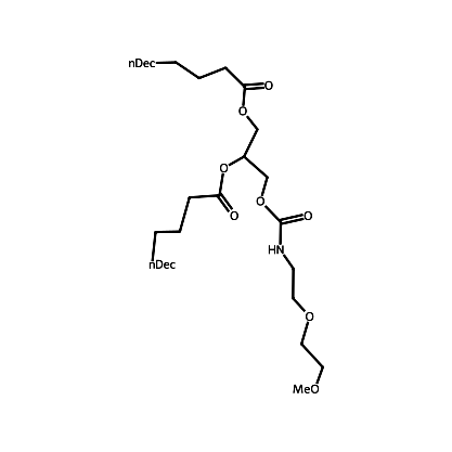 CCCCCCCCCCCCCC(=O)OCC(COC(=O)NCCOCCOC)OC(=O)CCCCCCCCCCCCC